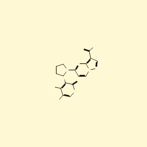 Cc1c(F)c[nH]c(=O)c1[C@H]1CCCN1c1ccn2ncc(C(=O)O)c2n1